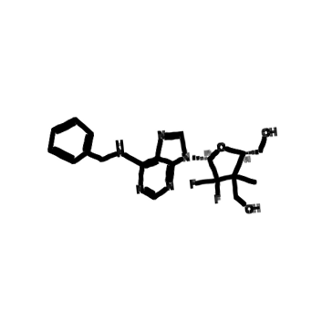 CC1(CO)[C@@H](CO)O[C@@H](n2cnc3c(NCc4ccccc4)ncnc32)C1(F)F